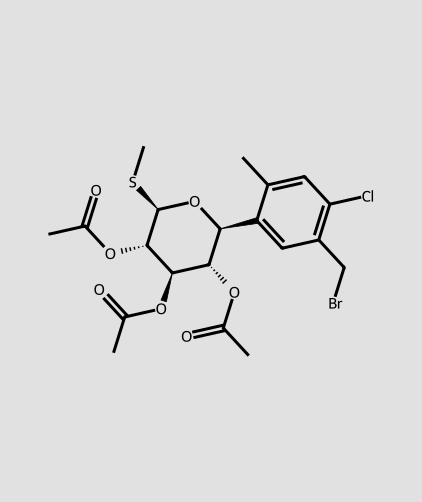 CS[C@H]1O[C@@H](c2cc(CBr)c(Cl)cc2C)[C@H](OC(C)=O)[C@@H](OC(C)=O)[C@@H]1OC(C)=O